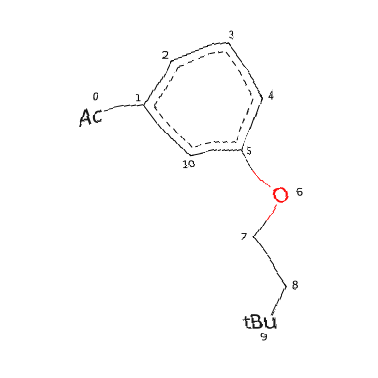 CC(=O)c1cccc(OCCC(C)(C)C)c1